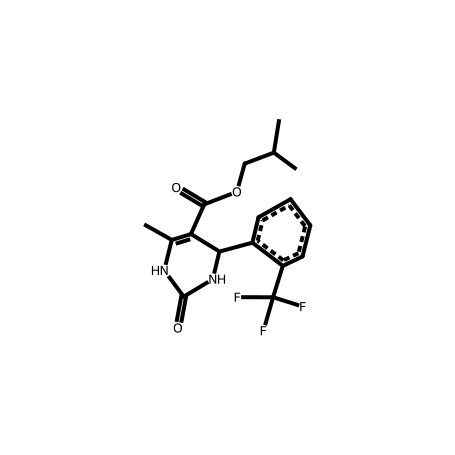 CC1=C(C(=O)OCC(C)C)C(c2ccccc2C(F)(F)F)NC(=O)N1